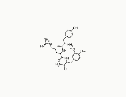 COc1ccc(CC(NC(=O)[C@@H](CCCNC(=N)N)NC(=O)C(N)Cc2ccc(O)cc2)C(N)=O)cc1OC